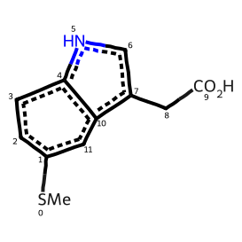 CSc1ccc2[nH]cc(CC(=O)O)c2c1